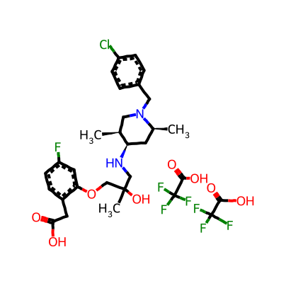 C[C@H]1CN(Cc2ccc(Cl)cc2)[C@@H](C)C[C@H]1NCC(C)(O)COc1cc(F)ccc1CC(=O)O.O=C(O)C(F)(F)F.O=C(O)C(F)(F)F